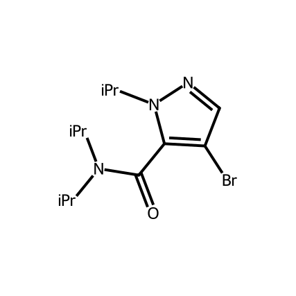 CC(C)N(C(=O)c1c(Br)cnn1C(C)C)C(C)C